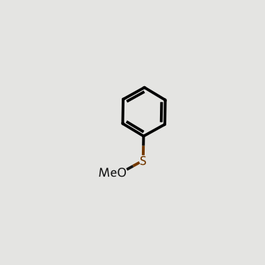 [CH2]OSc1ccccc1